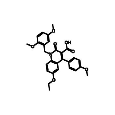 CCOc1ccc2c(c1)c(-c1ccc(OC)cc1)c(C(=O)O)c(=O)n2Cc1cc(OC)ccc1OC